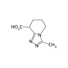 Cc1nnc2n1CCCC2C(=O)O